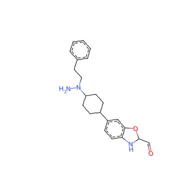 NN(CCc1ccccc1)C1CCC(c2ccc3c(c2)OC(C=O)N3)CC1